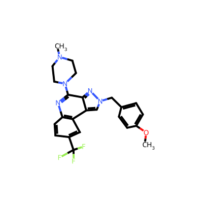 COc1ccc(Cn2cc3c(n2)c(N2CCN(C)CC2)nc2ccc(C(F)(F)F)cc23)cc1